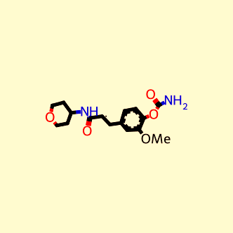 COc1cc(C[CH]C(=O)NC2CCOCC2)ccc1OC(N)=O